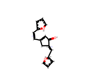 O=C1C=C(/C=C\c2ccco2)C/C1=C\c1ccco1